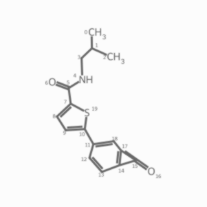 CC(C)CNC(=O)c1ccc(-c2ccc3c(=O)c3c2)s1